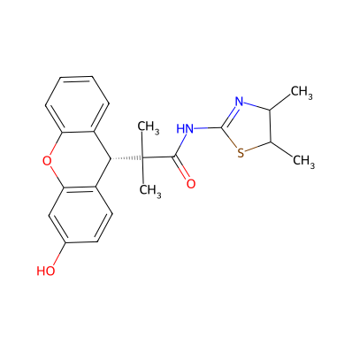 CC1N=C(NC(=O)C(C)(C)[C@H]2c3ccccc3Oc3cc(O)ccc32)SC1C